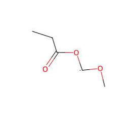 CCC(=O)O[CH]OC